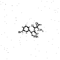 C[C@]1(C(=O)C2=NNCC2c2cccc(Br)c2)CO1